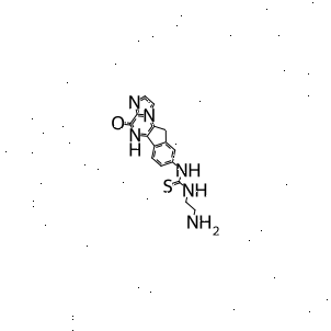 NCCNC(=S)Nc1ccc2c(c1)Cc1c-2[nH]c(=O)c2nccn12